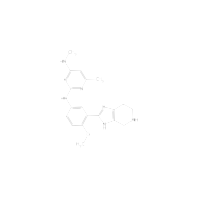 CNc1cc(C)nc(Nc2ccc(OC)c(-c3nc4c([nH]3)CNCC4)c2)n1